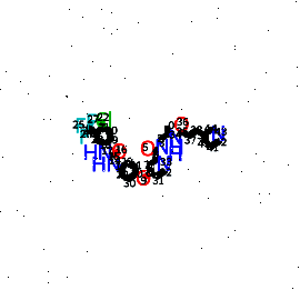 CC(CNC(=O)c1cc(Oc2ccc(NC(=O)Nc3ccc(Cl)c(C(F)(F)F)c3)cc2)ccn1)NC(=O)C=Cc1cccnc1